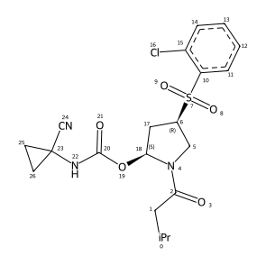 CC(C)CC(=O)N1C[C@H](S(=O)(=O)c2ccccc2Cl)C[C@@H]1OC(=O)NC1(C#N)CC1